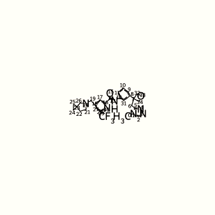 Cn1cnnc1CC1(c2cccc(NC(=O)c3cc(CN4CCC5(CC5)C4)cc(C(F)(F)F)n3)c2)COC1